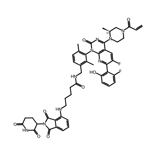 C=CC(=O)N1CCN(c2nc(=O)n(-c3c(C)ccc(CNC(=O)CCCCNc4cccc5c4C(=O)N(C4CCC(=O)NC4=O)C5=O)c3C)c3nc(-c4c(O)cccc4F)c(F)cc23)[C@@H](C)C1